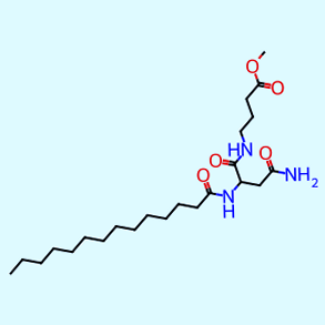 CCCCCCCCCCCCCC(=O)NC(CC(N)=O)C(=O)NCCCC(=O)OC